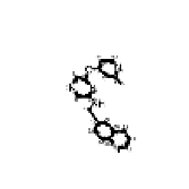 Cc1cc(Oc2cncc(NCc3ccc4ncccc4c3)n2)ccn1